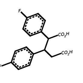 O=C(O)CC(c1ccc(F)cc1)C(C(=O)O)c1ccc(F)cc1